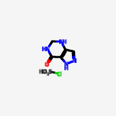 O=C1NCNc2cn[nH]c21.O=S(=O)(O)Cl